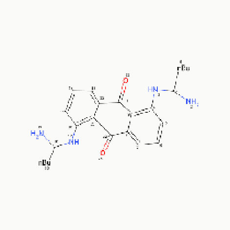 CCCCC(N)Nc1cccc2c1C(=O)c1cccc(NC(N)CCCC)c1C2=O